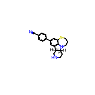 N#Cc1ccc(-c2cc3c4c(c2)[C@H]2CNCC[C@H]2N4CCCS3)cc1